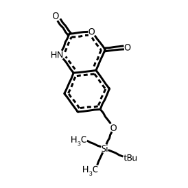 CC(C)(C)[Si](C)(C)Oc1ccc2[nH]c(=O)oc(=O)c2c1